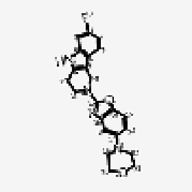 Fc1ccc2c3c([nH]c2c1)CCN(c1nc2cc(N4CCOCC4)ccc2o1)C3